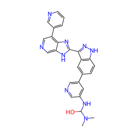 CN(C)C(O)Nc1cncc(-c2ccc3[nH]nc(-c4nc5c(-c6cccnc6)cncc5[nH]4)c3c2)c1